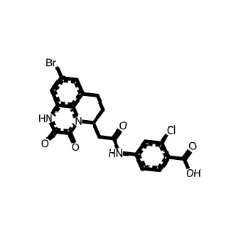 O=C(CC1CCc2cc(Br)cc3[nH]c(=O)c(=O)n1c23)Nc1ccc(C(=O)O)c(Cl)c1